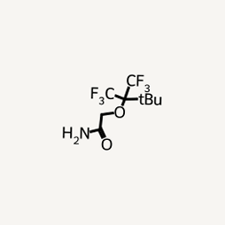 CC(C)(C)C(OCC(N)=O)(C(F)(F)F)C(F)(F)F